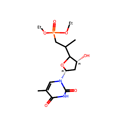 CCOP(=O)(CC(C)C1O[C@@H](n2cc(C)c(=O)[nH]c2=O)C[C@H]1O)OCC